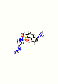 CN(C)c1cccc2c(S(=O)(=O)NCCN=[N+]=[N-])cccc12